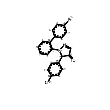 O=C1C=NN(c2ccccc2-c2ccc(Br)cc2)C1c1ccc(Cl)cc1